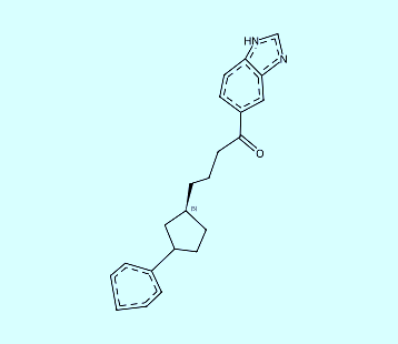 O=C(CCC[C@H]1CCC(c2ccccc2)C1)c1ccc2[nH]cnc2c1